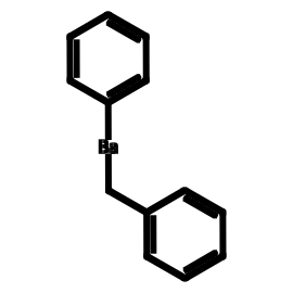 c1ccc([CH2][Ba][c]2ccccc2)cc1